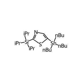 CCC[CH2][Sn]([CH2]CCC)([CH2]CCC)[c]1cnc([Si](C(C)C)(C(C)C)C(C)C)s1